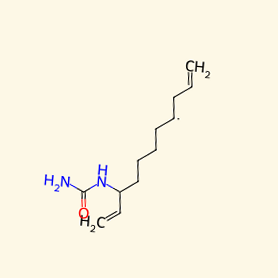 C=CC[CH]CCCCC(C=C)NC(N)=O